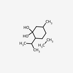 CC.CC1CCC(C(C)C)C(O)(O)C1